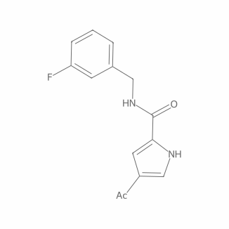 CC(=O)c1c[nH]c(C(=O)NCc2cccc(F)c2)c1